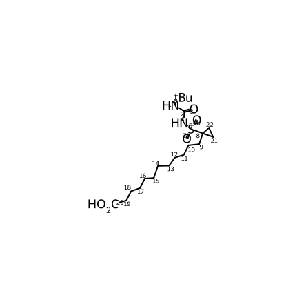 CC(C)(C)NC(=O)NS(=O)(=O)C1(CCCCCCCCCCCC(=O)O)CC1